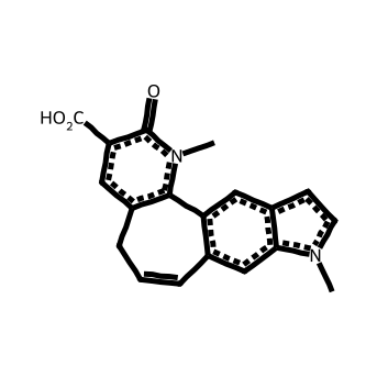 Cn1c2c(cc(C(=O)O)c1=O)CC=Cc1cc3c(ccn3C)cc1-2